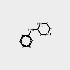 c1ccc(NC2CNCCN2)cc1